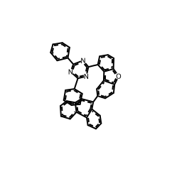 c1ccc(-c2nc(-c3ccccc3)nc(-c3cccc4oc5ccc(-c6cc7ccccc7c7ccccc67)cc5c34)n2)cc1